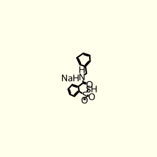 O=C(NCc1ccccc1)c1ccccc1S(=O)(=O)S.[NaH]